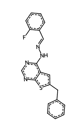 Fc1ccccc1C=NNc1ncnc2sc(Cc3ccccc3)cc12